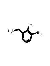 Cc1c(N)cccc1CN